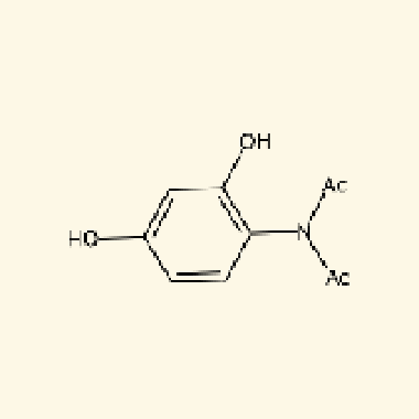 CC(=O)N(C(C)=O)c1ccc(O)cc1O